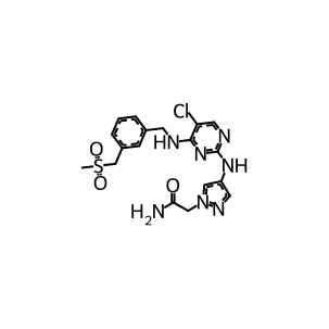 CS(=O)(=O)Cc1cccc(CNc2nc(Nc3cnn(CC(N)=O)c3)ncc2Cl)c1